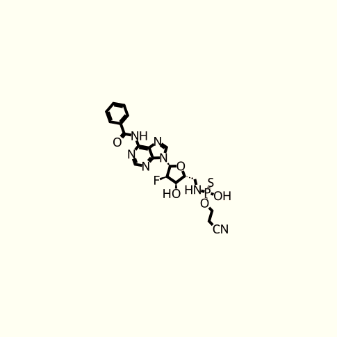 N#CCCOP(O)(=S)NC[C@H]1O[C@@H](n2cnc3c(NC(=O)c4ccccc4)ncnc32)[C@H](F)[C@@H]1O